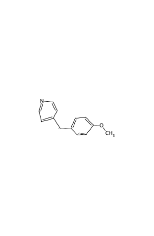 COc1ccc([CH]c2ccncc2)cc1